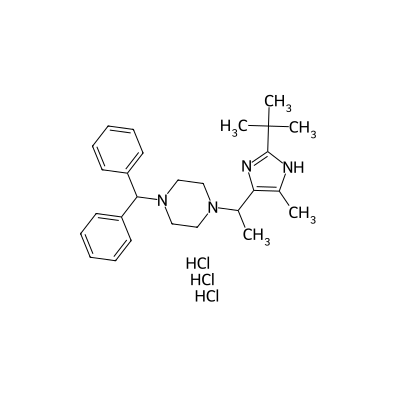 Cc1[nH]c(C(C)(C)C)nc1C(C)N1CCN(C(c2ccccc2)c2ccccc2)CC1.Cl.Cl.Cl